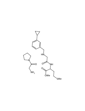 COC(=O)C(CCSC)NC(=O)CNCc1cccc(C2CC2)c1.NCC(=O)N1CCCC1